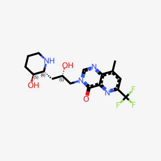 Cc1cc(C(F)(F)F)nc2c(=O)n(C[C@@H](O)C[C@H]3NCCC[C@@H]3O)cnc12